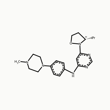 CC(C)[C@H]1CCON1c1cc(Nc2ccc(N3CCN(C)CC3)cc2)ncn1